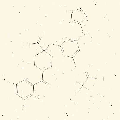 Cc1cc(Nc2cc[nH]n2)nc(CC2(C(N)=O)CCN(C(=O)c3cccc(Cl)c3F)CC2)n1.O=C(O)C(F)(F)F